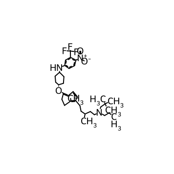 CCCN(CCC(C)CCC1=C(/C)CC/C(O[C@H]2CC[C@H](Nc3ccc([N+](=O)[O-])c(C(F)(F)F)c3)CC2)=C/C=C\1)CC(C)(C)C